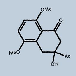 COc1ccc(OC)c2c1CC(O)(C(C)=O)CC2=O